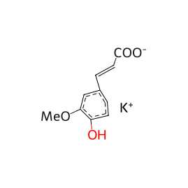 COc1cc(C=CC(=O)[O-])ccc1O.[K+]